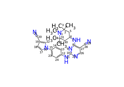 CN1C(C)(C)CC(Nc2nc(Nc3ccc(-n4ccc(C#N)c4)cc3)ncc2C#N)CC1(C)C